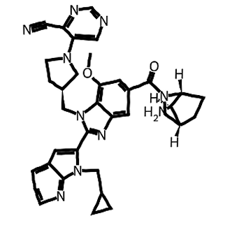 COc1cc(C(=O)N2C[C@H]3CC[C@@H]2[C@@H]3N)cc2nc(-c3cc4cccnc4n3CC3CC3)n(C[C@H]3CCN(c4cncnc4C#N)C3)c12